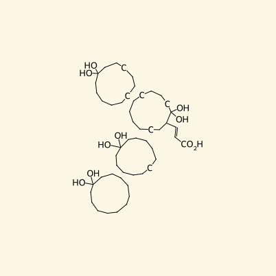 O=C(O)C=CC1CCCCCCCCCCC1(O)O.OC1(O)CCCCCCCCCCC1.OC1(O)CCCCCCCCCCC1.OC1(O)CCCCCCCCCCC1